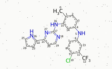 Cc1ccc(Nc2ccc(Cl)c(C(F)(F)F)c2)cc1Nc1nccc(-c2ccc[nH]2)n1